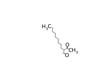 CCCCCCCCCC([C]=O)C(C)=O